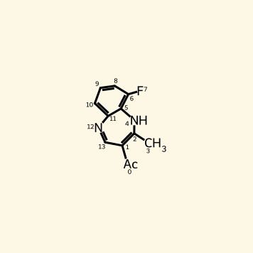 CC(=O)C1=C(C)Nc2c(F)cccc2N=C1